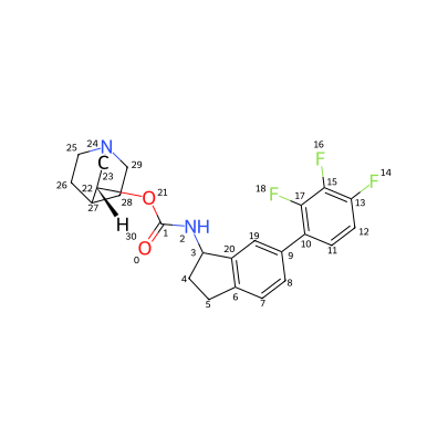 O=C(NC1CCc2ccc(-c3ccc(F)c(F)c3F)cc21)O[C@H]1CN2CCC1CC2